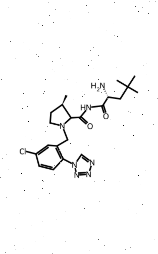 C[C@@H]1CCN(Cc2cc(Cl)ccc2-n2cnnn2)C1C(=O)NC(=O)[C@H](N)CC(C)(C)C